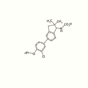 CCCOc1ccc(-c2ccc3c(c2)CC(C)(C)C3NC(=O)O)cc1Cl